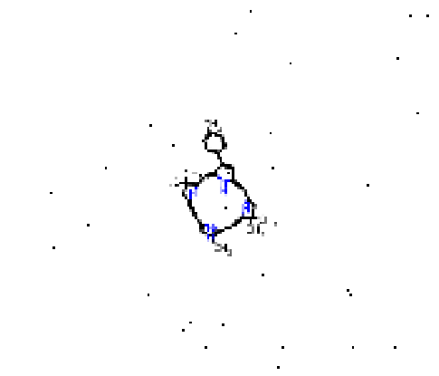 Cc1ccc(-c2cc3cc4nc(cc5[nH]c(cc6nc(cc2[nH]3)C(C)(C)C6)cc5C)C(C)(C)C4)cc1